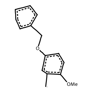 [CH2]c1cc(OCc2ccccc2)ccc1OC